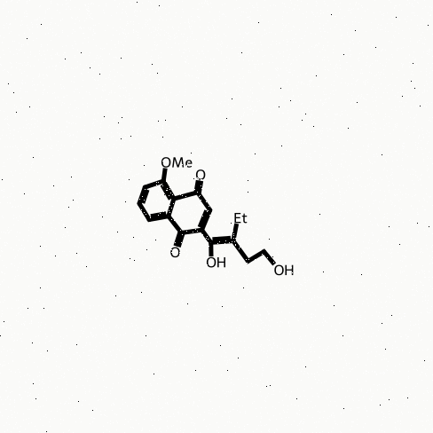 CC/C(CCO)=C(/O)C1=CC(=O)c2c(OC)cccc2C1=O